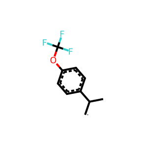 [CH2]C(C)c1ccc(OC(F)(F)F)cc1